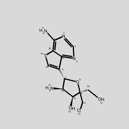 Nc1ncnc2c([C@@H]3O[C@@](CO)(CCl)[C@@H](O)[C@H]3N)csc12